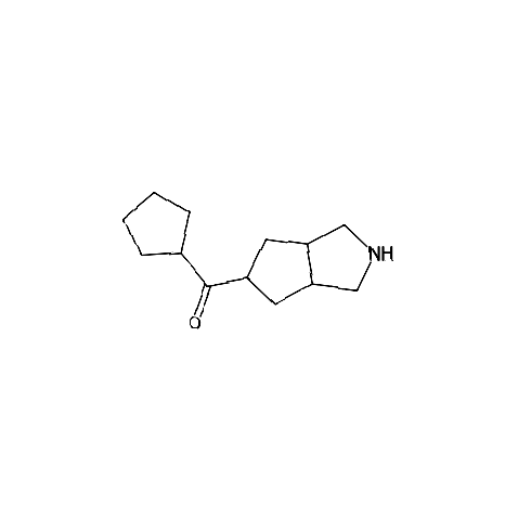 O=C(C1CCCC1)C1CC2CNCC2C1